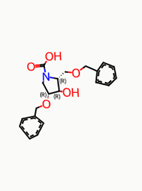 O=C(O)N1C[C@@H](OCc2ccccc2)[C@H](O)[C@H]1COCc1ccccc1